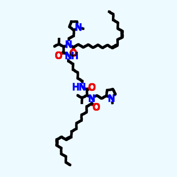 CCCCC/C=C\C/C=C\CCCCCCCC(=O)N(CCC1CCCN1C)C(C(=O)NCCCCCCNC(=O)C(C(C)C)N(CCC1CCCN1C)C(=O)CCCCCCC/C=C\C/C=C\CCCCC)C(C)C